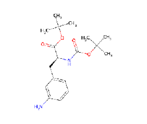 CC(C)(C)OC(=O)N[C@@H](Cc1cccc(N)c1)C(=O)OC(C)(C)C